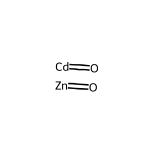 [O]=[Cd].[O]=[Zn]